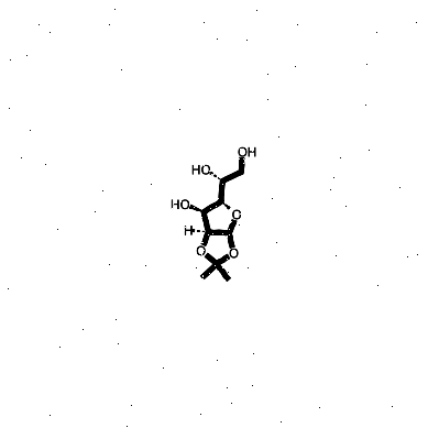 CC1(C)OC2O[C@@H]([C@H](O)CO)[C@H](O)[C@@H]2O1